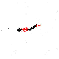 CC(O)CC(C)CC(C)CC(C)CC(C)CC(C)CCCOOCOCc1ccccc1